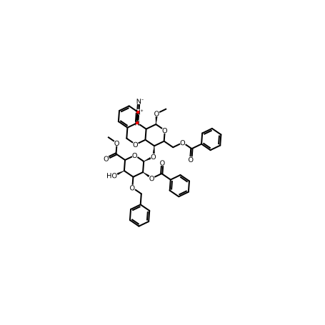 COC(=O)C1O[C@@H](O[C@@H]2C(COC(=O)c3ccccc3)O[C@H](OC)C(N=[N+]=[N-])C2OCc2ccccc2)[C@@H](OC(=O)c2ccccc2)C(OCc2ccccc2)[C@H]1O